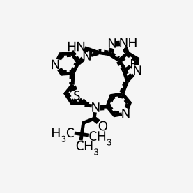 CC(C)(C)CC(=O)n1c2cncc(c2)c2ncc3[nH]nc(c4nc5c(cncc5c5ccc1s5)[nH]4)c3c2F